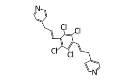 Clc1c(Cl)c(/C=C/Cc2ccncc2)c(Cl)c(Cl)c1C=CCc1ccncc1